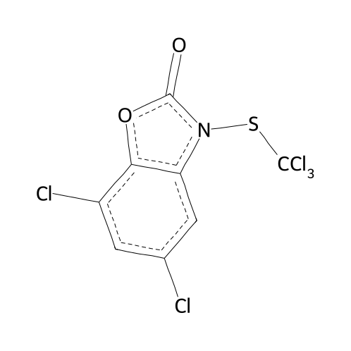 O=c1oc2c(Cl)cc(Cl)cc2n1SC(Cl)(Cl)Cl